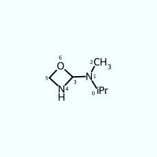 CC(C)N(C)C1NCO1